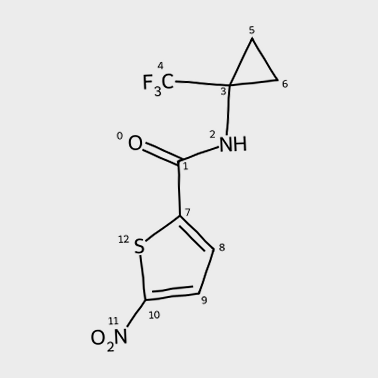 O=C(NC1(C(F)(F)F)CC1)c1ccc([N+](=O)[O-])s1